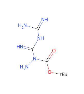 CC(C)(C)OC(=O)N(N)C(=N)NC(=N)N